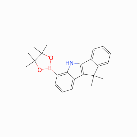 CC1(C)c2ccccc2-c2[nH]c3c(B4OC(C)(C)C(C)(C)O4)cccc3c21